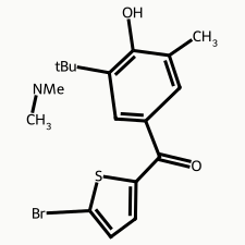 CNC.Cc1cc(C(=O)c2ccc(Br)s2)cc(C(C)(C)C)c1O